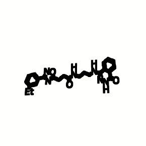 CCc1cccc(-c2noc(CCC(=O)NCCCNc3n[nH]c(=O)c4ccccc34)n2)c1